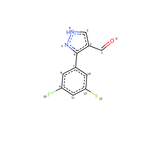 O=Cc1c[nH]nc1-c1cc(F)cc(F)c1